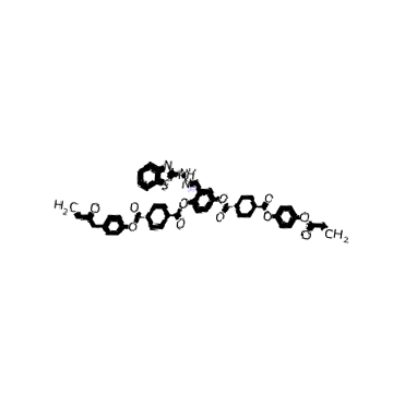 C=CC(=O)Cc1ccc(OC(=O)[C@H]2CC[C@H](C(=O)Oc3ccc(OC(=O)[C@H]4CC[C@H](C(=O)Oc5ccc(OC(=O)C=C)cc5)CC4)cc3/C=N/Nc3nc4ccccc4s3)CC2)cc1